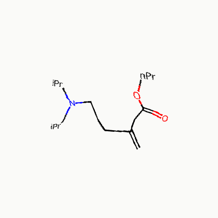 C=C(CCN(C(C)C)C(C)C)C(=O)OCCC